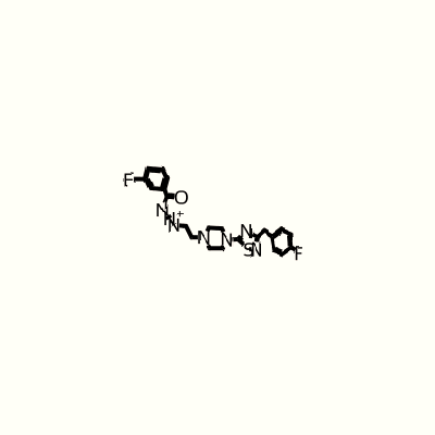 O=C(N=[N+]=NCCN1CCN(c2nc(Cc3ccc(F)cc3)ns2)CC1)c1cccc(F)c1